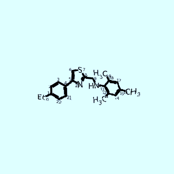 CCc1ccc(-c2csc(CNc3c(C)cc(C)cc3C)n2)cc1